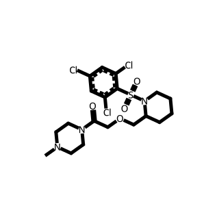 CN1CCN(C(=O)COCC2CCCCN2S(=O)(=O)c2c(Cl)cc(Cl)cc2Cl)CC1